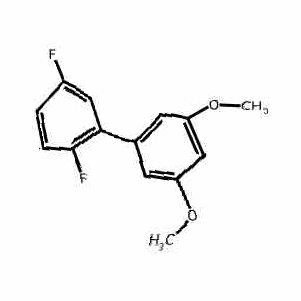 COc1cc(OC)cc(-c2cc(F)c[c]c2F)c1